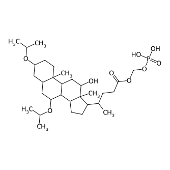 CC(C)OC1CCC2(C)C(C1)CC(OC(C)C)C1C2CC(O)C2(C)C(C(C)CCC(=O)OCOP(=O)(O)O)CCC12